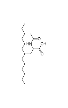 CCCCCCC(CCCCCC)CC(NC(C)=O)C(=O)O